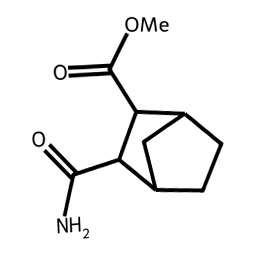 COC(=O)C1C2CCC(C2)C1C(N)=O